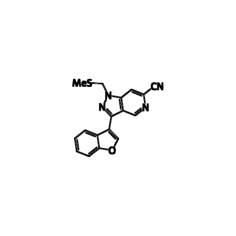 CSCn1nc(-c2coc3ccccc23)c2cnc(C#N)cc21